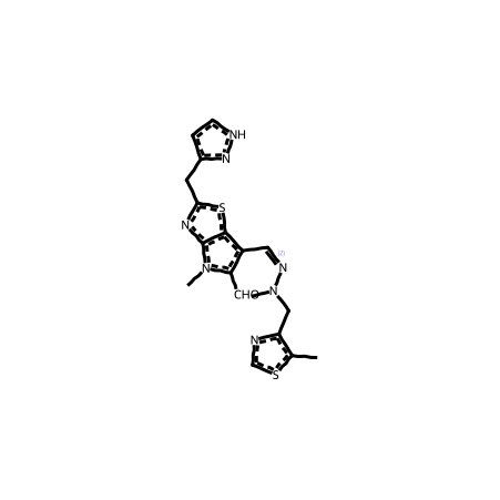 Cc1scnc1CN(C)/N=C\c1c(C=O)n(C)c2nc(Cc3cc[nH]n3)sc12